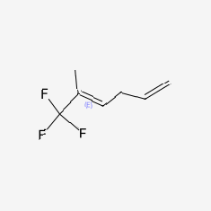 C=CC/C=C(\C)C(F)(F)F